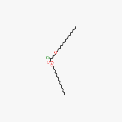 CCCCCCCCCCCCCCCCOCCCC(Cl)C(=O)OOCCCCCCCCCCCCCCCC